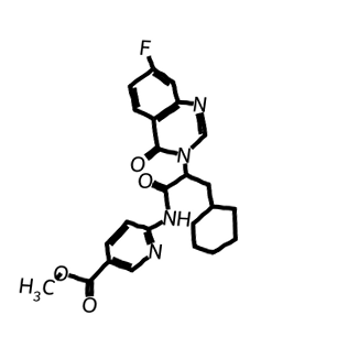 COC(=O)c1ccc(NC(=O)C(CC2CCCCC2)n2cnc3cc(F)ccc3c2=O)nc1